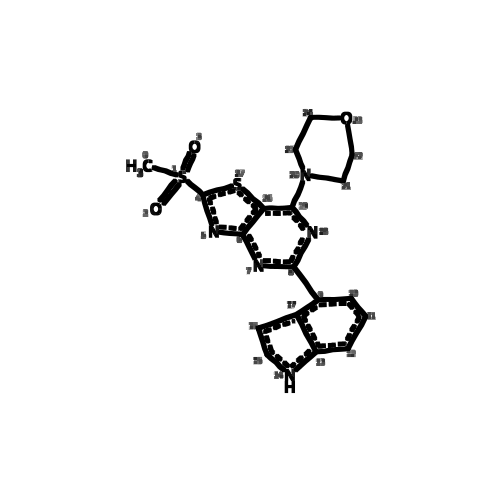 CS(=O)(=O)c1nc2nc(-c3cccc4[nH]ccc34)nc(N3CCOCC3)c2s1